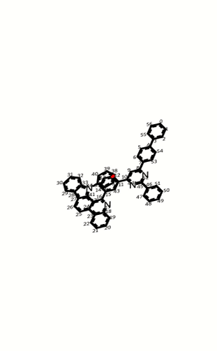 c1ccc(-c2ccc(-c3cc(-c4cccc(-c5nc6ccccc6c6ccc7c8ccccc8n(-c8ccccc8)c7c56)c4)nc(-c4ccccc4)n3)cc2)cc1